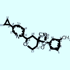 Cc1cccc(S(=O)(=O)C2(C)CCOC(c3ccc(C4CC4)cn3)C2)c1